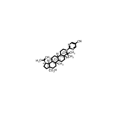 C=C(C)[C@@H]1CC[C@]2(C(=O)O)CC[C@]3(C)C(CC[C@@H]4[C@@]5(C)CCN(c6ncc(C#N)cn6)C(C)(C)[C@@H]5CC[C@]43C)[C@@H]12